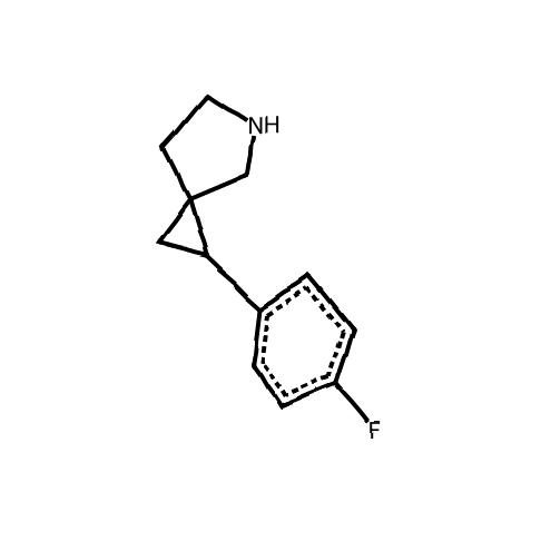 Fc1ccc(C2CC23CCNC3)cc1